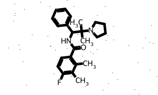 Cc1c(F)ccc(C(=O)NC(c2ccccc2)C(C)(C)N2CCCC2)c1C